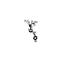 CCOc1cc(-c2nccc(NCCc3ccc(Br)cc3)n2)sc1NC(=O)O